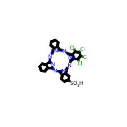 O=S(=O)(O)c1ccc2c(c1)-c1nc-2nc2nc(nc3[nH]c(nc4[nH]c(n1)c1c(Cl)c(Cl)c(Cl)c(Cl)c41)c1ccccc31)-c1ccccc1-2